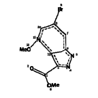 COC(=O)c1nnc2cc(Br)cn(OC)c1-2